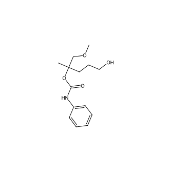 COCC(C)(CCCO)OC(=O)Nc1ccccc1